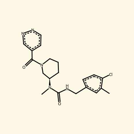 Cc1cc(CNC(=O)N(C)[C@@H]2CCCN(C(=O)c3ccnnc3)C2)ccc1Cl